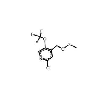 CSOCc1cc(Cl)ncc1OC(F)(F)F